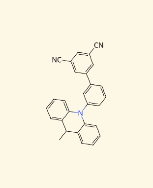 CC1c2ccccc2N(c2cccc(-c3cc(C#N)cc(C#N)c3)c2)c2ccccc21